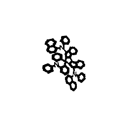 c1ccc(N2c3ccccc3C3(c4ccccc42)c2cc(N(c4ccccc4)c4cccc5ccccc45)c4ccccc4c2-c2c3cc(N(c3ccccc3)c3cccc4ccccc34)c3ccccc23)cc1